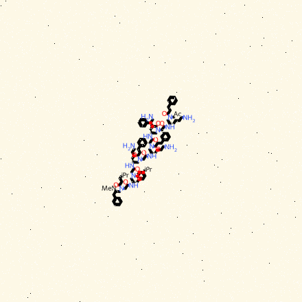 CN[C@@H](Cc1ccccc1)CN(CC(=O)N[C@@H](Cc1ccccc1)CN(CC(=O)N[C@@H](CCCCN)CN(CC(=O)N[C@@H](CCCCN)CN(CC(=O)N[C@@H](CCCCN)CN(CC(=O)N[C@@H](CCCCN)CN(CC(C)=O)C(=O)CCc1ccccc1)C(=O)CCc1ccccc1)C(=O)CCc1ccccc1)C(=O)CCc1ccccc1)C(=O)CCC(C)C)C(=O)CCC(C)C